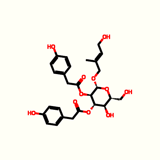 C/C(=C\CO)CO[C@@H]1O[C@H](CO)[C@@H](O)[C@H](OC(=O)Cc2ccc(O)cc2)[C@H]1OC(=O)Cc1ccc(O)cc1